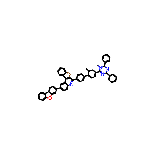 CC1CC(C2=NC(c3ccccc3)=NC(c3ccccc3)N2C)=CC=C1c1ccc(-c2nc3ccc(-c4ccc5c(c4)oc4ccccc45)cc3c3c2sc2ccccc23)cc1